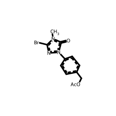 CC(=O)OCc1ccc(-n2nc(Br)n(C)c2=O)cc1